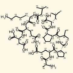 CC(C)C[C@H](NC(=O)[C@@H]1CCCN1C(=O)[C@@H](NC(=O)[C@@H]1CCCN1C(=O)[C@H](CCC(=O)O)NC(=O)[C@H](C)N)C(C)C)C(=O)N[C@H](C(=O)N[C@@H](CCCCN)C(=O)N[C@@H](CCC(N)=O)C(=O)N[C@@H](CC(=O)O)C(=O)O)C(C)C